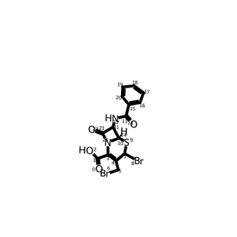 O=C(O)C1=C(CBr)C(Br)S[C@@H]2C(NC(=O)c3ccccc3)C(=O)N12